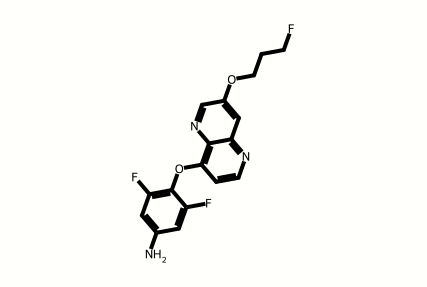 Nc1cc(F)c(Oc2ccnc3cc(OCCCF)cnc23)c(F)c1